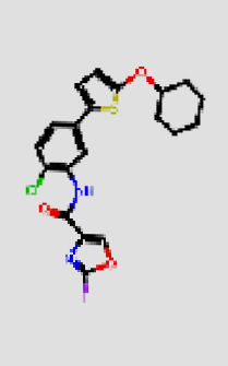 O=C(Nc1cc(-c2ccc(OC3CCCCC3)s2)ccc1Cl)c1coc(I)n1